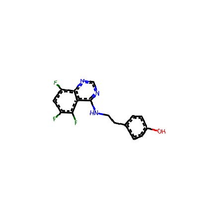 Oc1ccc(CCNc2ncnc3c(F)cc(F)c(F)c23)cc1